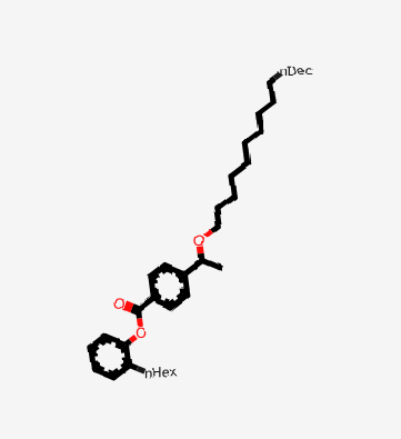 CCCCCCCCCCCCCCCCCCCCOC(C)c1ccc(C(=O)Oc2ccccc2CCCCCC)cc1